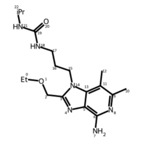 CCOCc1nc2c(N)nc(C)c(C)c2n1CCCNC(=O)NC(C)C